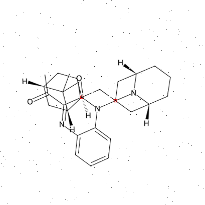 CC(=O)c1nc2ccccc2n(C2C[C@H]3CCC[C@@H](C2)N3CC[C@@H]2CC[C@H]3C[C@@H]2C3(C)C)c1=O